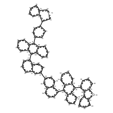 c1ccc2c(-c3ccc(-c4c5ccccc5c(-c5cccc6cc(-c7ccc8c(-c9c%10ccccc%10c(-c%10cccc%11oc%12ccccc%12c%10%11)c%10ccccc9%10)cccc8c7)ccc56)c5ccccc45)cc3)cccc2c1